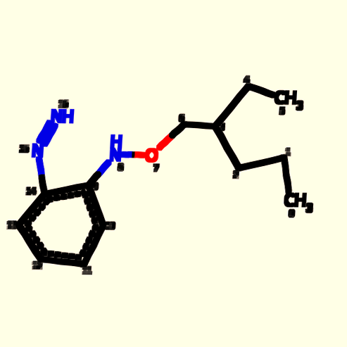 CCCC(CC)CONc1ccccc1N=N